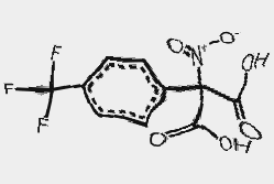 O=C(O)C(C(=O)O)(c1ccc(C(F)(F)F)cc1)[N+](=O)[O-]